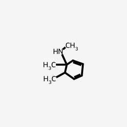 CNC1(C)C=CC=CC1C